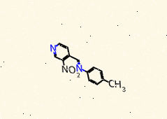 Cc1ccc(N=Cc2ccncc2[N+](=O)[O-])cc1